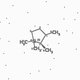 CC1CC[Si](C)(C)[C@@H]1C